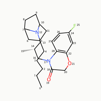 CCCCCC1CC2CCC(C1)N2C[C@@H](C)CN1C(=O)COc2cc(F)ccc21